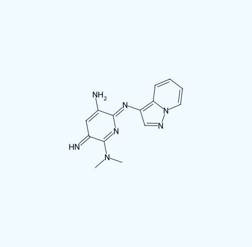 CN(C)C1=N/C(=N\c2cnn3ccccc23)C(N)=CC1=N